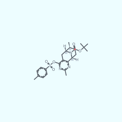 Cc1ccc(S(=O)(=O)Oc2nc(C)nc3c2C[C@@H]2[C@@H](C)CC[C@H]3N2C(=O)OC(C)(C)C)cc1